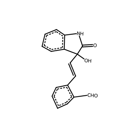 O=Cc1ccccc1C=CC1(O)C(=O)Nc2ccccc21